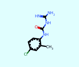 Cc1cc(Cl)ccc1NC(=O)NC(=N)N